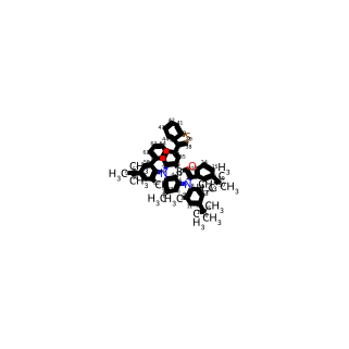 Cc1cc2c3c(c1)N(c1c(C)cc(C(C)(C)C)cc1C)c1c(oc4ccc(C(C)(C)C)cc14)B3c1cc(-c3csc4ccccc34)ccc1N2c1c(C)cc(C(C)(C)C)cc1-c1ccccc1